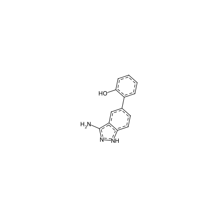 Nc1n[nH]c2ccc(-c3ccccc3O)cc12